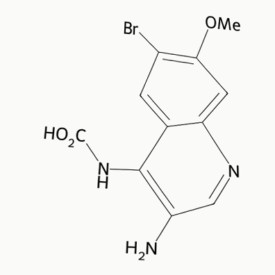 COc1cc2ncc(N)c(NC(=O)O)c2cc1Br